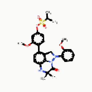 COc1cc(OS(=O)(=O)C(C)C)ccc1-c1ccc2c3c1CN(c1ccccc1OC)N3C(=O)C(C)(C)N2